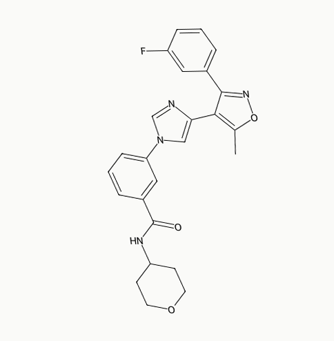 Cc1onc(-c2cccc(F)c2)c1-c1cn(-c2cccc(C(=O)NC3CCOCC3)c2)cn1